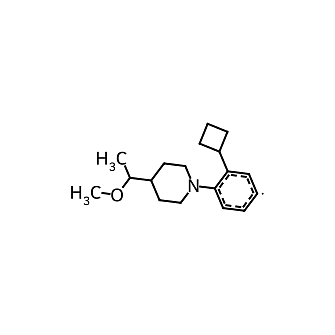 COC(C)C1CCN(c2cc[c]cc2C2CCC2)CC1